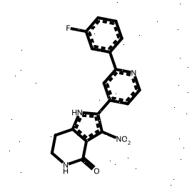 O=C1NCCc2[nH]c(-c3ccnc(-c4cccc(F)c4)c3)c([N+](=O)[O-])c21